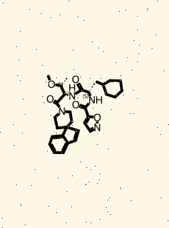 CO[C@H](C)[C@H](NC(=O)[C@H](CC1CCCCC1)NC(=O)c1ccno1)C(=O)N1CCC2(C=Cc3ccccc32)CC1